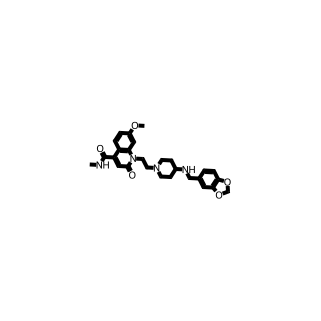 CNC(=O)c1cc(=O)n(CCN2CCC(NCc3ccc4c(c3)OCO4)CC2)c2cc(OC)ccc12